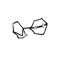 C1CC2(C34COC(CN3)C4)CCC1CS2